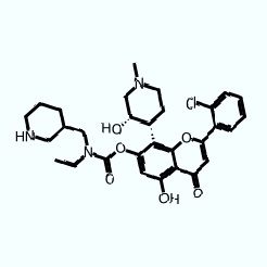 CCN(CC1CCCNC1)C(=O)Oc1cc(O)c2c(=O)cc(-c3ccccc3Cl)oc2c1[C@H]1CCN(C)C[C@H]1O